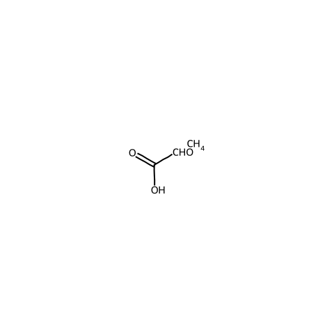 C.O=CC(=O)O